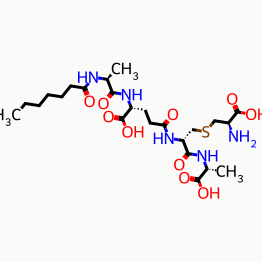 CCCCCCC(=O)N[C@@H](C)C(=O)N[C@H](CCC(=O)N[C@H](CSC[C@H](N)C(=O)O)C(=O)N[C@H](C)C(=O)O)C(=O)O